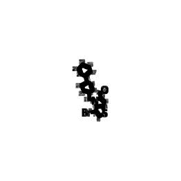 O=Cc1cc2scc(Br)c2n1Cc1ccc(-c2ccccc2)cc1